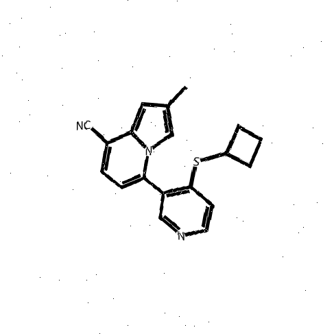 Cc1cc2c(C#N)ccc(-c3cnccc3SC3CCC3)n2c1